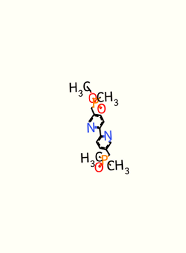 CCOP(C)(=O)Cc1ccc(-c2ccc(CP(C)(C)=O)cn2)nc1